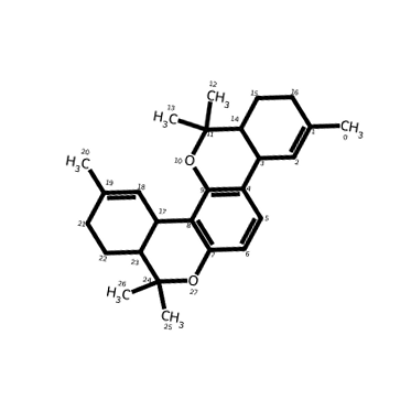 CC1=CC2c3ccc4c(c3OC(C)(C)C2CC1)C1C=C(C)CCC1C(C)(C)O4